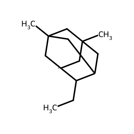 CCC1[C]2CC3(C)CC1CC(C)(C2)C3